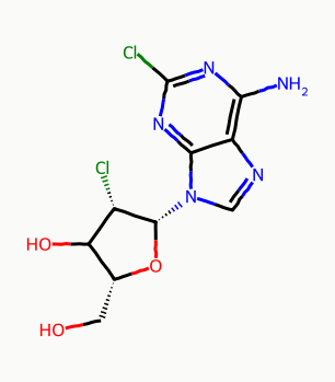 Nc1nc(Cl)nc2c1ncn2[C@@H]1O[C@H](CO)C(O)[C@@H]1Cl